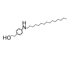 CCCCCCCCCCCCCCCNc1ccc(CCO)cc1